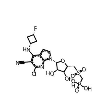 N#Cc1c(Cl)nc2c(ccn2[C@@H]2O[C@H](CS(=O)(=O)CP(=O)(O)O)[C@@H](O)[C@H]2O)c1N[C@H]1C[C@@H](F)C1